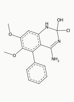 COc1cc2c(c(-c3ccccc3)c1OC)C(N)=NC(O)(Cl)N2